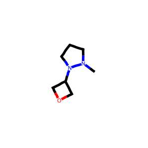 CN1CCCN1C1COC1